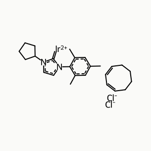 C1=C\CCCC\C=C/1.Cc1cc(C)c(-n2ccn(C3CCCC3)[c]2=[Ir+2])c(C)c1.[Cl-].[Cl-]